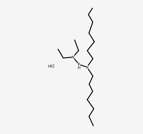 CCCCCCCN(CCCCCCC)PN(CC)CC.Cl